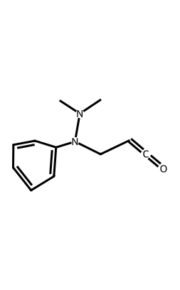 CN(C)N(CC=C=O)c1ccccc1